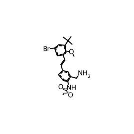 COc1c(C=Cc2ccc(NS(C)(=O)=O)c(CN)c2)cc(Br)cc1C(C)(C)C